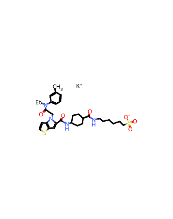 CCN(C(=O)Cn1c(C(=O)NC2CCC(C(=O)NCCCCCCS(=O)(=O)[O-])CC2)cc2sccc21)c1cccc(C)c1.[K+]